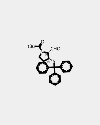 CC(C)(C)C(=O)N1CC[C@@H](SC(c2ccccc2)(c2ccccc2)c2ccccc2)[C@H]1C=O